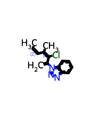 C=C(/C(Cl)=C(C)\C=C/C)n1nnc2ccccc21